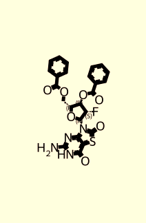 Nc1nc2c(sc(=O)n2[C@@H]2O[C@H](COC(=O)c3ccccc3)[C@@H](OC(=O)c3ccccc3)[C@@H]2F)c(=O)[nH]1